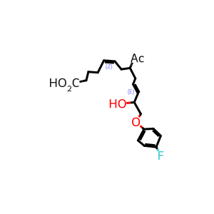 CC(=O)C(C/C=C\CCCC(=O)O)C/C=C/C(O)COc1ccc(F)cc1